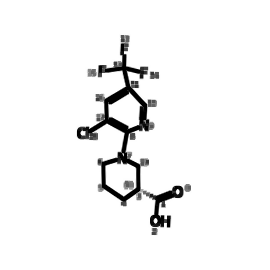 O=C(O)[C@@H]1CCCN(c2ncc(C(F)(F)F)cc2Cl)C1